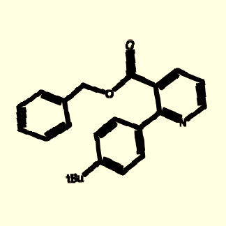 CC(C)(C)c1ccc(-c2ncccc2C(=O)OCc2ccccc2)cc1